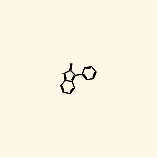 C=C1[C]=c2ccccc2=C1c1ccccc1